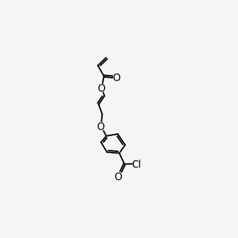 C=CC(=O)OC=CCOc1ccc(C(=O)Cl)cc1